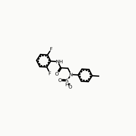 Cc1ccc(N(CC(=O)Nc2c(F)cccc2F)[SH](=O)=O)cc1